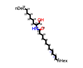 CCCCCC/C=C/C=C/CCCCCCCC(=O)NC(CO)CCCCCCCCCCCCCCCC